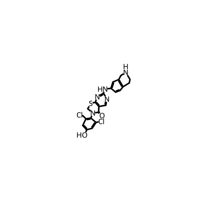 O=C1c2cnc(Nc3ccc4c(c3)CNCC4)nc2SCN1c1c(Cl)cc(O)cc1Cl